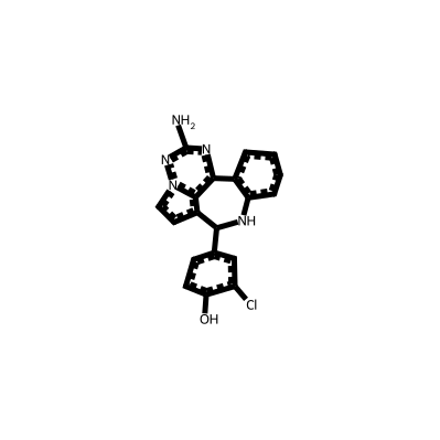 Nc1nc2c3c(ccn3n1)C(c1ccc(O)c(Cl)c1)Nc1ccccc1-2